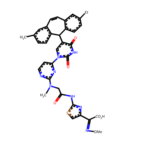 CCc1ccc2c(c1)C=Cc1cc(C)ccc1C2c1cn(-c2ccnc(N(C)CC(=O)Nc3nc(/C(=N/OC)C(=O)O)cs3)n2)c(=O)[nH]c1=O